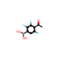 CC(=O)c1c(F)cc(B(O)O)c(F)c1F